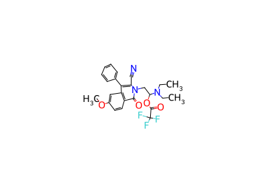 CCN(CC)C(Cn1c(C#N)c(-c2ccccc2)c2cc(OC)ccc2c1=O)OC(=O)C(F)(F)F